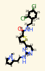 Cn1cccc1CCNc1nccc(-c2ccc(C(=O)NCCc3ccc(Cl)cc3Cl)s2)n1